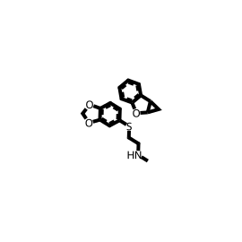 CNCCSc1ccc2c(c1)OCO2.c1ccc2c(c1)OC1CC21